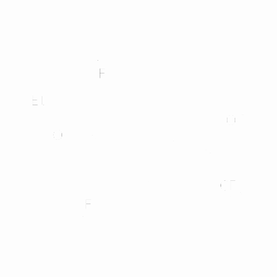 CCOc1c(F)cc(C(=O)C(F)(F)F)cc1F